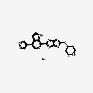 C[C@@H]1C[C@@H](Oc2nc3sc(-c4ncc(-c5cn[nH]c5)c5cc[nH]c45)nc3s2)CCN1.Cl